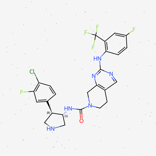 O=C(N[C@@H]1CNC[C@H]1c1ccc(Cl)c(F)c1)N1CCc2cnc(Nc3ccc(F)cc3C(F)(F)F)nc2C1